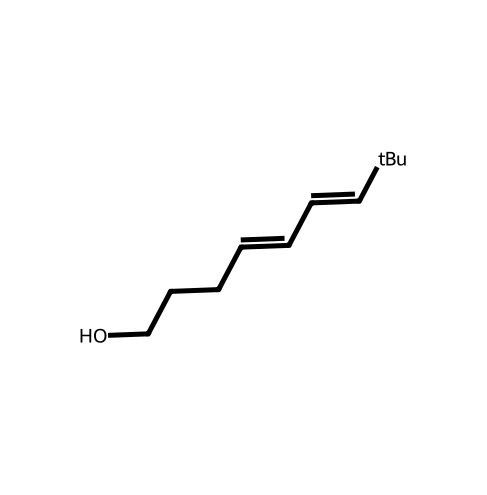 CC(C)(C)C=CC=CCCCO